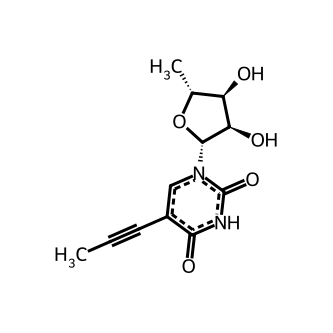 CC#Cc1cn([C@@H]2O[C@H](C)[C@@H](O)[C@H]2O)c(=O)[nH]c1=O